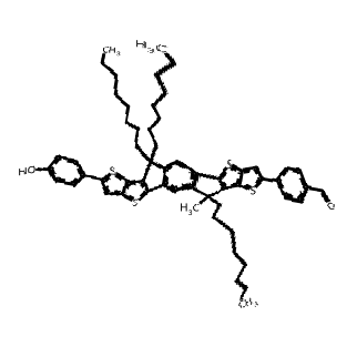 CCCCCCCCC1(C)c2cc3c(cc2-c2sc4cc(-c5ccc(C=O)cc5)sc4c21)C(CCCCCCCC)(CCCCCCCC)c1c-3sc2cc(-c3ccc(O)cc3)sc12